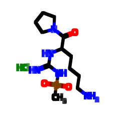 CS(=O)(=O)NC(=N)NC(CCCCN)C(=O)N1CCCC1.Cl